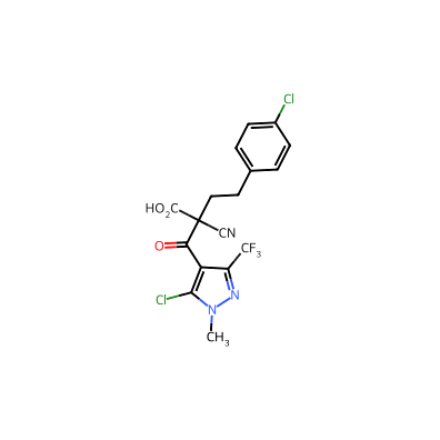 Cn1nc(C(F)(F)F)c(C(=O)C(C#N)(CCc2ccc(Cl)cc2)C(=O)O)c1Cl